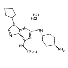 CCCCCNc1nc(N[C@H]2CC[C@H](N)CC2)nc2c1ncn2C1CCCC1.Cl.Cl